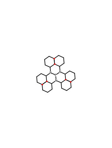 C1CCC(N(C2CCCCC2)P(N(C2CCCCC2)C2CCCCC2)N(C2CCCCC2)C2CCCCC2)CC1